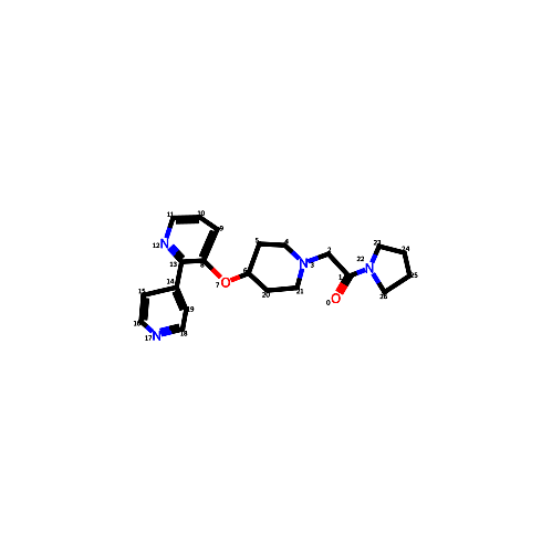 O=C(CN1CCC(Oc2cccnc2-c2ccncc2)CC1)N1CCCC1